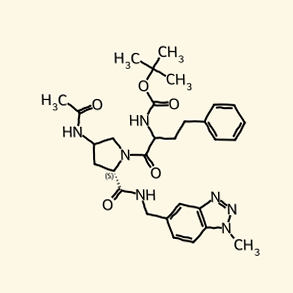 CC(=O)NC1C[C@@H](C(=O)NCc2ccc3c(c2)nnn3C)N(C(=O)C(CCc2ccccc2)NC(=O)OC(C)(C)C)C1